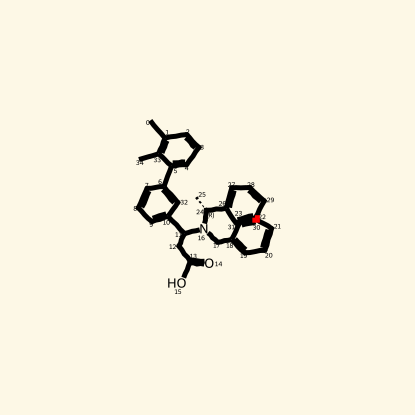 Cc1cccc(-c2cccc(C(CC(=O)O)N(Cc3ccccc3)[C@H](C)c3ccccc3)c2)c1C